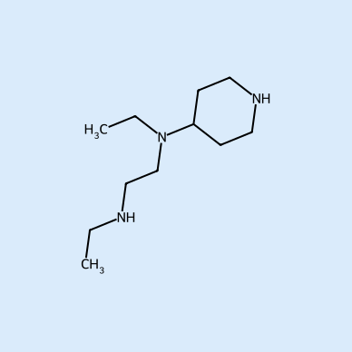 CCNCCN(CC)C1CCNCC1